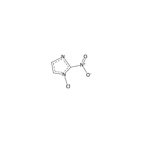 O=[N+]([O-])c1nccn1Cl